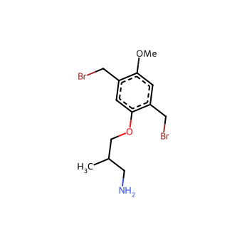 COc1cc(CBr)c(OCC(C)CN)cc1CBr